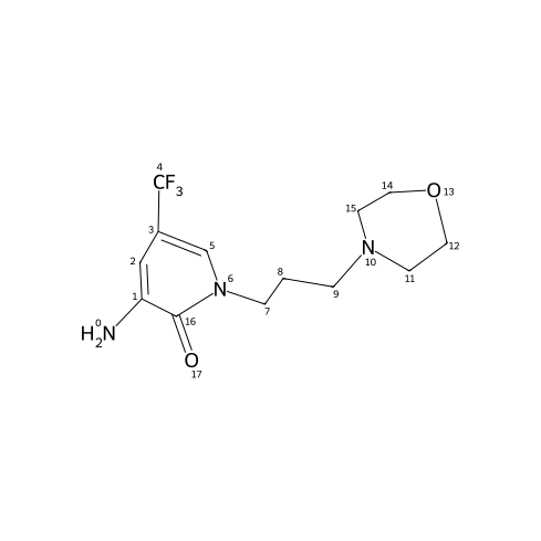 Nc1cc(C(F)(F)F)cn(CCCN2CCOCC2)c1=O